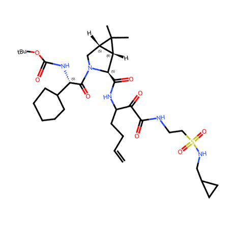 C=CCCC(NC(=O)[C@@H]1[C@@H]2[C@H](CN1C(=O)[C@@H](NC(=O)OC(C)(C)C)C1CCCCC1)C2(C)C)C(=O)C(=O)NCCS(=O)(=O)NCC1CC1